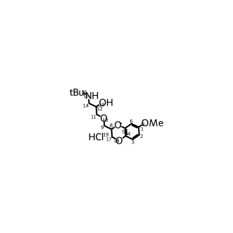 COc1ccc2c(c1)OC(COCC(O)CNC(C)(C)C)CO2.Cl